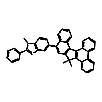 Cn1c(-c2ccccc2)nc2cc(-c3cc4c(c5ccccc35)-c3c(c5ccccc5c5ccccc35)C4(C)C)ccc21